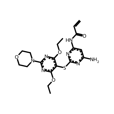 C=CC(=O)Nc1cc(N)nc(Sc2c(OCC)nc(N3CCOCC3)nc2OCC)n1